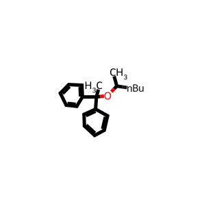 CCCCC(C)OC(C)(c1ccccc1)c1ccccc1